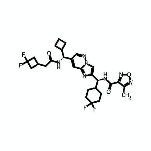 Cc1nonc1C(=O)N[C@H](c1cn2ncc([C@H](NC(=O)CC3CC(F)(F)C3)C3CCC3)cc2n1)C1CCC(F)(F)CC1